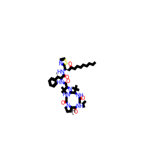 CCCCCCCCC(=O)C[C@@H](NC(=O)C(NC(=O)C(/N=C1\NCC(=O)N2CC[C@@H](C)[C@H]2C(=O)N[C@@H](C(C)C)C(=O)NC1C(C)(C)C)C(C)(C)C)[C@@H](C)c1ccccc1)c1nccs1